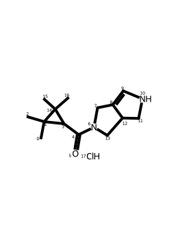 CC1(C)C(C(=O)N2CC3=CNCC3C2)C1(C)C.Cl